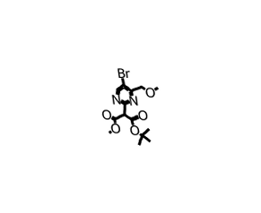 COCc1nc(C(C(=O)OC)C(=O)OC(C)(C)C)ncc1Br